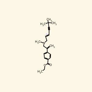 C=C(CN(C)C/C=C/C#CC(C)(C)C)c1ccc(C(=O)OCC)cc1